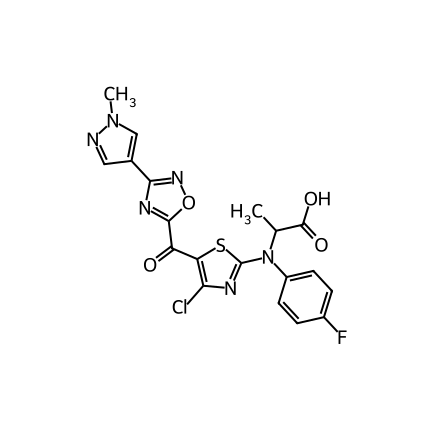 CC(C(=O)O)N(c1ccc(F)cc1)c1nc(Cl)c(C(=O)c2nc(-c3cnn(C)c3)no2)s1